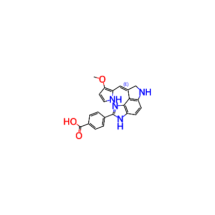 COc1cc[nH]c1/C=C1/CNc2ccc3[nH]c(-c4ccc(C(=O)O)cc4)nc3c21